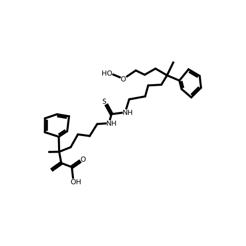 C=C(C(=O)O)C(C)(CCCCNC(=S)NCCCCC(C)(CCCOO)c1ccccc1)c1ccccc1